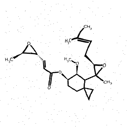 CO[C@H]1C(C2(C)O[C@@H]2CC=C(C)C)C2(CC[C@H]1OC(=O)/C=C/[C@H]1O[C@@H]1C)CC2